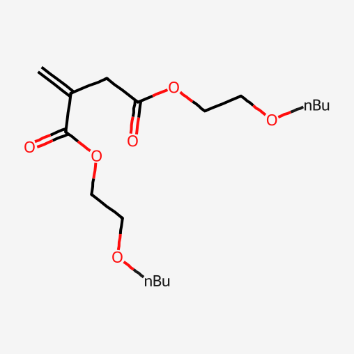 C=C(CC(=O)OCCOCCCC)C(=O)OCCOCCCC